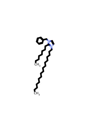 CCCCCCCCCCCCCCCCC[n+]1ccn(Cc2ccccc2)c1CCCCCCCC